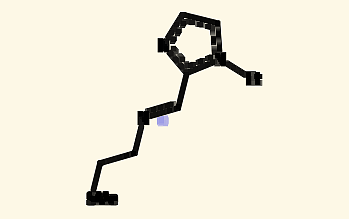 CCn1ccnc1/C=N/CCSC